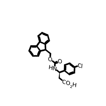 O=C(O)C[C@@H](NC(=O)OCC1c2ccccc2-c2ccccc21)c1ccc(Cl)cc1